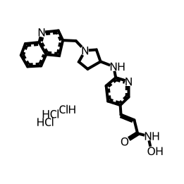 Cl.Cl.Cl.O=C(/C=C/c1ccc(NC2CCN(Cc3cnc4ccccc4c3)C2)nc1)NO